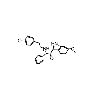 COc1ccc2c(C(=O)[C@@H](NCCc3ccc(Cl)cc3)c3ccccc3)c[nH]c2c1